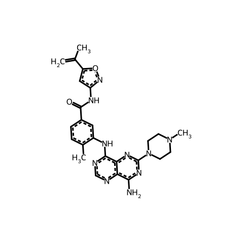 C=C(C)c1cc(NC(=O)c2ccc(C)c(Nc3ncnc4c(N)nc(N5CCN(C)CC5)nc34)c2)no1